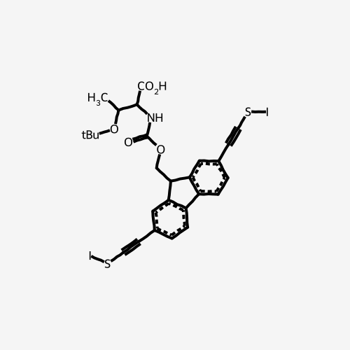 CC(OC(C)(C)C)C(NC(=O)OCC1c2cc(C#CSI)ccc2-c2ccc(C#CSI)cc21)C(=O)O